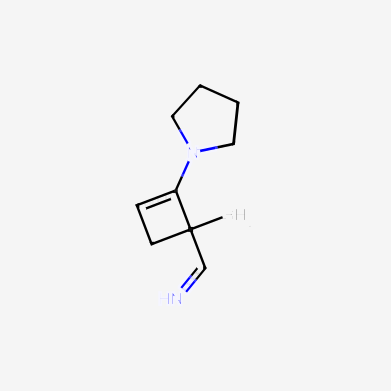 BC1(C=N)CC=C1N1CCCC1